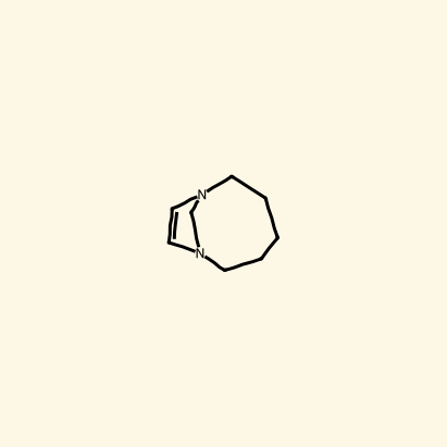 C1=CN2CCCCCN1C2